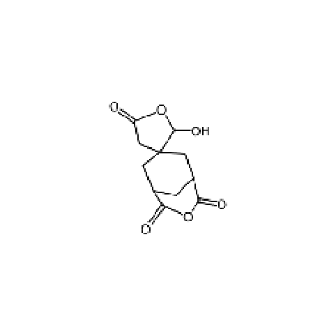 O=C1CC2(CC3CC(C2)C(=O)OC3=O)C(O)O1